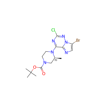 C[C@H]1CN(C(=O)OC(C)(C)C)CCN1c1nc(Cl)nn2c(Br)cnc12